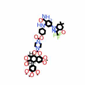 COc1cc([C@@H]2c3cc4c(cc3[C@@H](OC(=O)N3CCN(C(=O)O[C@H]5CC[C@H](Nc6cc(-n7nc(C(F)(F)F)c8c7CC(C)(C)CC8=O)ccc6C(N)=O)CC5)CC3)[C@H]3COC(=O)[C@H]23)OCO4)cc(OC)c1OC